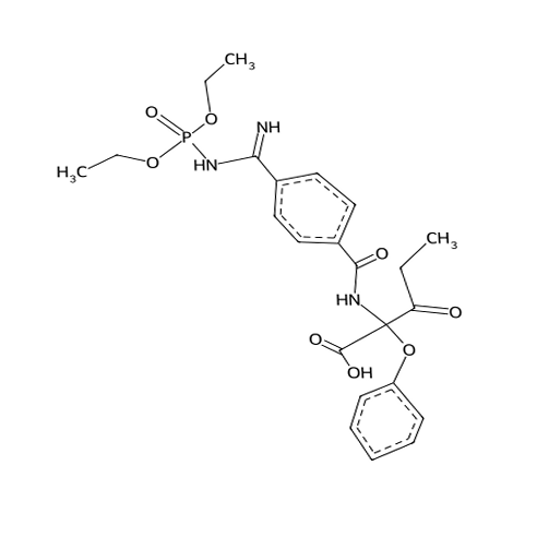 CCOP(=O)(NC(=N)c1ccc(C(=O)NC(Oc2ccccc2)(C(=O)O)C(=O)CC)cc1)OCC